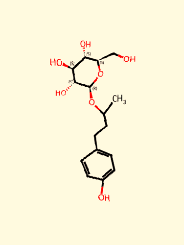 CC(CCc1ccc(O)cc1)O[C@@H]1O[C@H](CO)[C@@H](O)[C@H](O)[C@H]1O